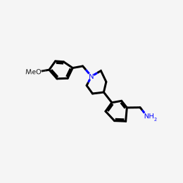 COc1ccc(CN2CCC(c3cccc(CN)c3)CC2)cc1